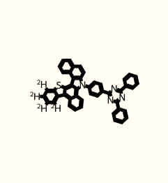 [2H]c1c([2H])c([2H])c2c(sc3c2c2ccccc2c2c3c3c4ccccc4ccc3n2-c2ccc(-c3nc(-c4ccccc4)nc(-c4ccccc4)n3)cc2)c1[2H]